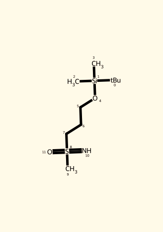 CC(C)(C)[Si](C)(C)OCCCS(C)(=N)=O